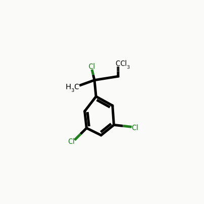 CC(Cl)(CC(Cl)(Cl)Cl)c1cc(Cl)cc(Cl)c1